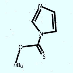 CCCCOC(=S)n1ccnc1